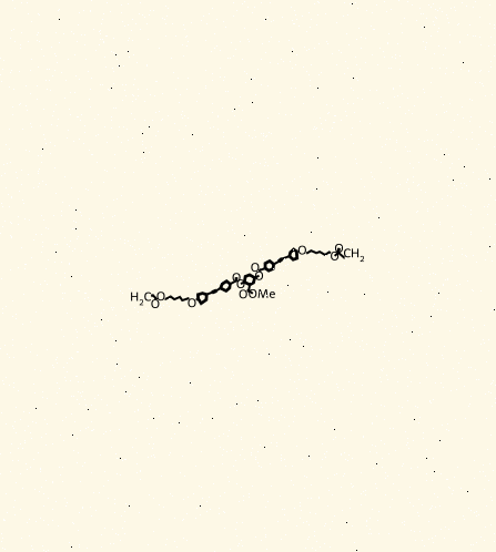 C=CC(=O)OCCCCCCOc1ccc(C#Cc2ccc(C(=O)Oc3ccc(OC(=O)c4ccc(C#Cc5ccc(OCCCCCCOC(=O)C=C)cc5)cc4)c(C(=O)OC)c3)cc2)cc1